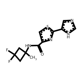 CC1(NC(=O)c2csc(-c3cnc[nH]3)n2)CC(F)(F)C1